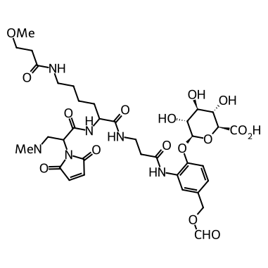 CNCC(C(=O)NC(CCCCNC(=O)CCOC)C(=O)NCCC(=O)Nc1cc(COC=O)ccc1O[C@@H]1O[C@H](C(=O)O)[C@@H](O)[C@H](O)[C@H]1O)N1C(=O)C=CC1=O